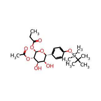 CCC(=O)O[C@H]1O[C@H](c2ccc(O[Si](C)(C)C(C)(C)C)cc2)[C@@H](O)[C@@H](O)[C@@H]1OC(C)=O